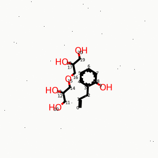 C=CCc1ccccc1O.OCC(O)COCC(O)CO